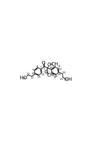 COC(OC)(C(=O)c1ccc(CCO)cc1)c1ccc(CCO)cc1